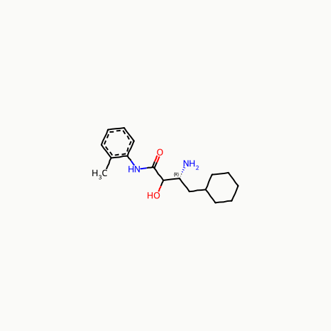 Cc1ccccc1NC(=O)C(O)[C@H](N)CC1CCCCC1